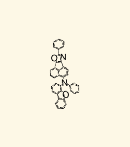 c1ccc(-c2nc3c(o2)-c2cccc4c(N(c5ccccc5)c5cccc6c5oc5ccccc56)ccc-3c24)cc1